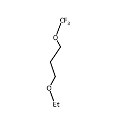 CCOCCCOC(F)(F)F